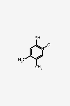 Cc1cc(S)[n+]([O-])cc1C